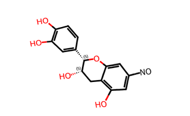 O=Nc1cc(O)c2c(c1)O[C@@H](c1ccc(O)c(O)c1)[C@@H](O)C2